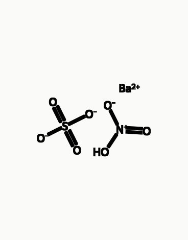 O=S(=O)([O-])[O-].O=[N+]([O-])O.[Ba+2]